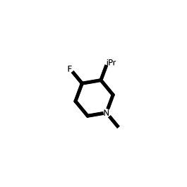 CC(C)C1CN(C)CCC1F